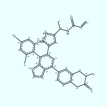 C=CC(=O)NC(C)c1cc(-c2nc(-c3ccc4c(c3)CN(C)C(=O)C4)c3ccsc3c2-c2c(F)cc(F)cc2OC)n[nH]1